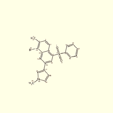 Cc1ccc2c(S(=O)(=O)c3ccccc3)cc(-c3ccn(C)c3)nc2c1Br